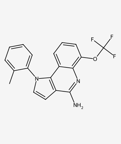 Cc1ccccc1-n1ccc2c(N)nc3c(OC(F)(F)F)cccc3c21